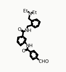 CCN(CC)Cc1ccccc1CNC(=O)c1cccc(NC(=O)c2ccc(C=O)cc2)c1